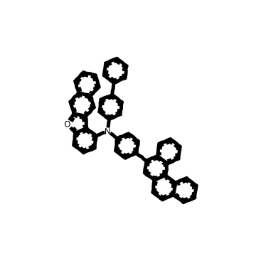 c1ccc(-c2ccc(N(c3ccc(-c4cc5ccc6ccccc6c5c5ccccc45)cc3)c3cccc4oc5cc6ccccc6cc5c34)cc2)cc1